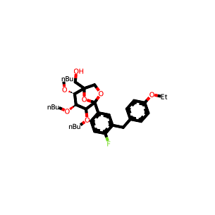 CCCCOC1[C@@H](OCCCC)[C@H](OCCCC)C2(CO)COC1(c1ccc(F)c(Cc3ccc(OCC)cc3)c1)O2